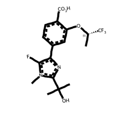 C[C@H](Oc1cc(-c2nc(C(C)(C)O)n(C)c2F)ccc1C(=O)O)C(F)(F)F